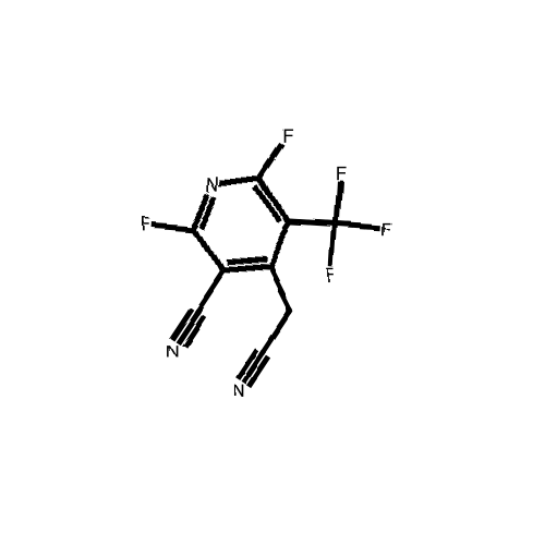 N#CCc1c(C#N)c(F)nc(F)c1C(F)(F)F